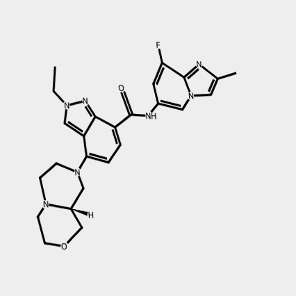 CCn1cc2c(N3CCN4CCOC[C@H]4C3)ccc(C(=O)Nc3cc(F)c4nc(C)cn4c3)c2n1